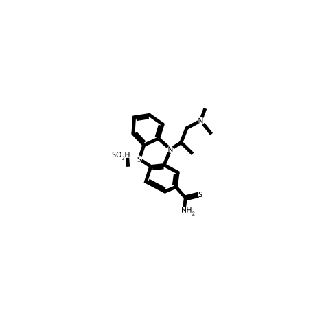 CC(CN(C)C)N1c2ccccc2Sc2ccc(C(N)=S)cc21.CS(=O)(=O)O